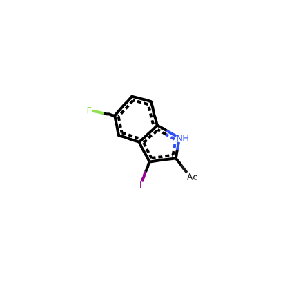 CC(=O)c1[nH]c2ccc(F)cc2c1I